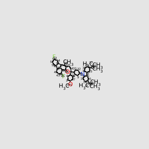 COc1ccc(C2(c3ccc(-n4c5ccc(C(C)(C)C)cc5c5cc(C(C)(C)C)ccc54)cc3)C=Cc3c(C)c4c5c(ccc(F)c5c3O2)-c2ccc(F)cc2-4)cc1